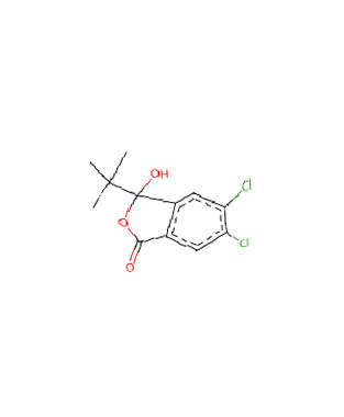 CC(C)(C)C1(O)OC(=O)c2cc(Cl)c(Cl)cc21